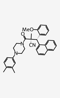 COc1ccccc1[C@H](c1cccc2ccccc12)[C@@](C)(C#N)C(=O)N1CCN(c2ccc(C)c(C)c2)CC1